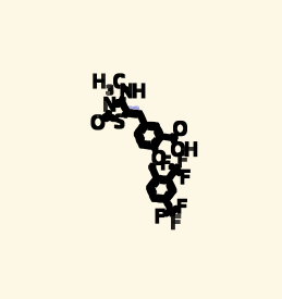 CNC1=NC(=O)S/C1=C\c1ccc(OCc2ccc(C(F)(F)F)cc2C(F)(F)F)c(C(=O)O)c1